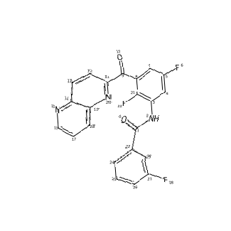 O=C(Nc1cc(F)cc(C(=O)c2ccc3ncccc3n2)c1F)c1cccc(F)c1